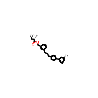 CCc1cccc(-c2ccc(CCCc3cccc(COC(=O)CCC(=O)O)c3)cc2)c1